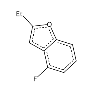 CCc1cc2c(F)cccc2o1